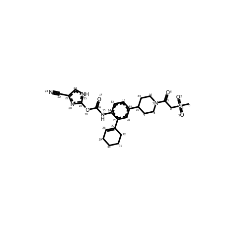 CS(=O)(=O)CC(=O)N1CCC(c2ccc(NC(=O)Oc3nc(C#N)c[nH]3)c(C3=CCCCC3)c2)CC1